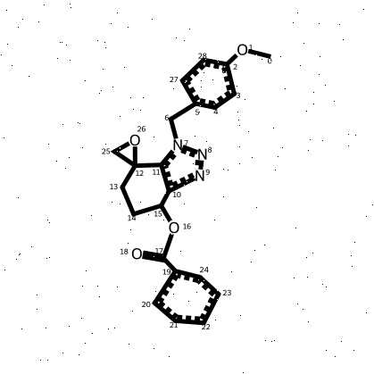 COc1ccc(Cn2nnc3c2C2(CCC3OC(=O)c3ccccc3)CO2)cc1